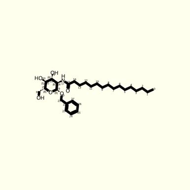 CCCCCCCCCCCCCCCC(=O)N[C@H]1[C@H](OCc2ccccc2)O[C@H](CO)[C@@H](O)[C@@H]1O